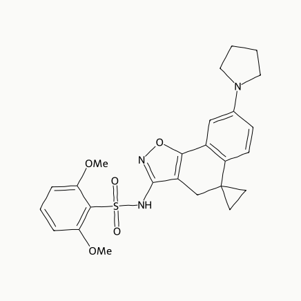 COc1cccc(OC)c1S(=O)(=O)Nc1noc2c1CC1(CC1)c1ccc(N3CCCC3)cc1-2